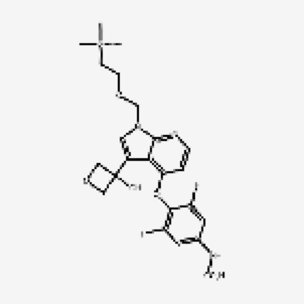 C[Si](C)(C)CCOCn1cc(C2(O)COC2)c2c(Oc3c(F)cc(NC(=O)O)cc3F)ccnc21